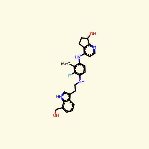 COc1c(Nc2ccnc3c2CCC3O)ccc(NCCc2c[nH]c3c(CO)cccc23)c1F